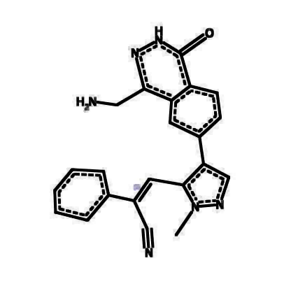 Cn1ncc(-c2ccc3c(=O)[nH]nc(CN)c3c2)c1/C=C(\C#N)c1ccccc1